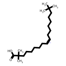 CC(C)(C)CCCCCC/C=C\CCCCCCC(C)(C)C(=O)O